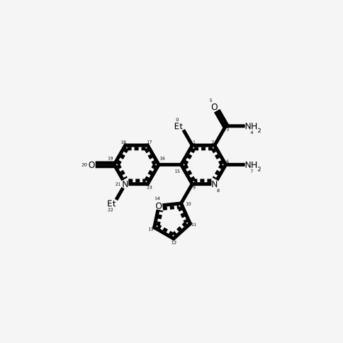 CCc1c(C(N)=O)c(N)nc(-c2ccco2)c1-c1ccc(=O)n(CC)c1